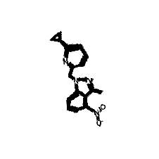 Cc1nn(Cc2cccc(C3CC3)n2)c2cccc([N+](=O)[O-])c12